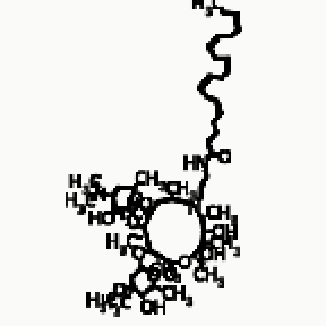 CC/C=C\C/C=C\C/C=C\C/C=C\C/C=C\CCCC(=O)NCCCN1C[C@H](C)C[C@@](C)(O)[C@H](O[C@@H]2O[C@H](C)C[C@H](N(C)C)[C@H]2O)[C@@H](C)[C@H](O[C@H]2C[C@@](C)(OC)[C@@H](O)[C@H](C)O2)[C@@H](C)C(=O)O[C@H](CC)[C@@](C)(O)[C@H](O)[C@H]1C